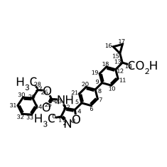 Cc1noc(-c2ccc(-c3ccc(C(C(=O)O)C4CC4)cc3)cc2)c1NC(=O)O[C@H](C)c1ccccc1